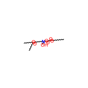 CCCCCCCCCCCOC(=O)CCC(=O)OCCN(CCO)CCCCCCCC(=O)OC(CCCCCCCC)CCCCCCCC